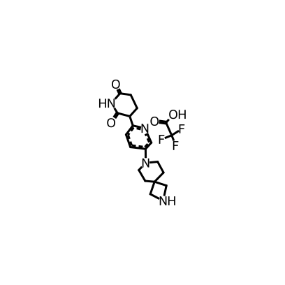 O=C(O)C(F)(F)F.O=C1CCC(c2ccc(N3CCC4(CC3)CNC4)cn2)C(=O)N1